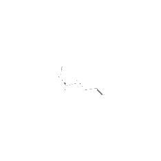 C=CCN/C=N\C